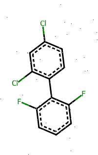 Fc1cccc(F)c1-c1ccc(Cl)[c]c1Cl